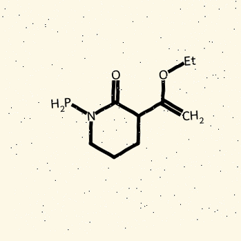 C=C(OCC)C1CCCN(P)C1=O